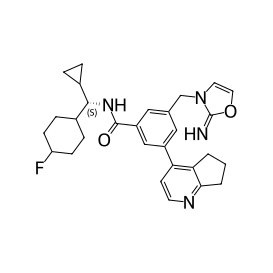 N=c1occn1Cc1cc(C(=O)N[C@H](C2CCC(F)CC2)C2CC2)cc(-c2ccnc3c2CCC3)c1